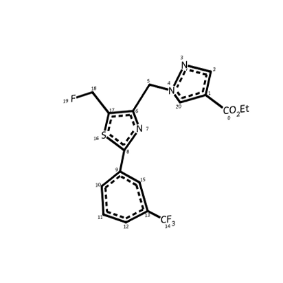 CCOC(=O)c1cnn(Cc2nc(-c3cccc(C(F)(F)F)c3)sc2CF)c1